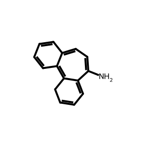 NC1=CC=c2ccccc2=C2CC=CC=C12